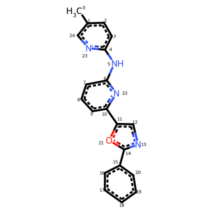 Cc1ccc(Nc2cccc(-c3cnc(-c4ccccc4)o3)n2)nc1